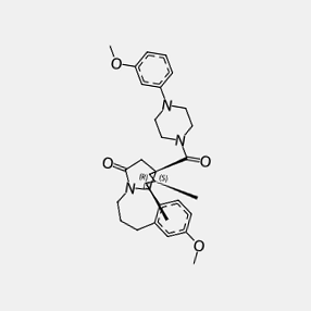 COc1cccc(N2CCN(C(=O)[C@H]3C4CC(=O)N5CCCc6cc(OC)ccc6C45[C@@H](C)[C@@H]3C)CC2)c1